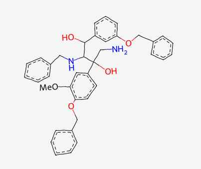 COc1cc(C(O)(CN)C(NCc2ccccc2)C(O)c2cccc(OCc3ccccc3)c2)ccc1OCc1ccccc1